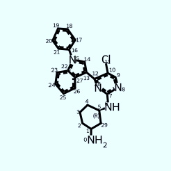 NC1CCC[C@@H](Nc2ncc(Cl)c(-c3cn(-c4ccccc4)c4ccccc34)n2)C1